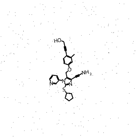 Cc1cc(OCc2c(C#CN)nc(SC3CCCC3)n2-c2cccnc2)ccc1C#CCO